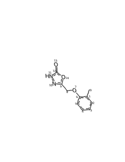 Cc1ccccc1OCc1n[nH]c(=O)o1